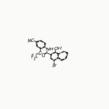 N#Cc1ccc(NC(=O)c2cc(Br)c3ccccc3c2O)c(OC(F)(F)F)c1